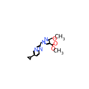 COCc1nn(Cc2cn3cc(C4CC4)ccc3n2)cc1C(=O)OC